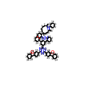 C=C1/C=C\C=C/C(C)(c2ccccc2Nc2c(-c3ccccc3)cc(-c3nc(-c4ccc5c(c4)oc4ccccc45)nc(-c4ccc5c(c4)oc4ccccc45)n3)cc2-c2ccccc2)/C=C\C(=C)N1c1ccccc1